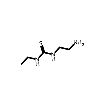 CCNC(=S)NCCN